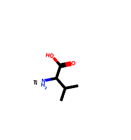 CC(C)C(N)C(=O)O.[Ti]